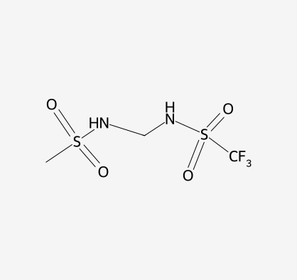 CS(=O)(=O)NCNS(=O)(=O)C(F)(F)F